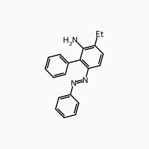 CCc1ccc(N=Nc2ccccc2)c(-c2ccccc2)c1N